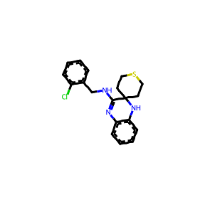 Clc1ccccc1CNC1=Nc2ccccc2NC12CCSCC2